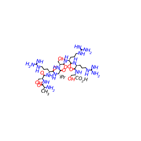 CC(C)[C@H](NC(=O)[C@H](CCCNC(=N)N)NC(=O)[C@H](CO)NC(=O)[C@H](C)N)C(=O)N[C@@H](CO)C(=O)N[C@@H](CCCNC(=N)N)C(=O)N[C@@H](CCCNC(=N)N)C(=O)N[C@@H](CO)C(=O)O